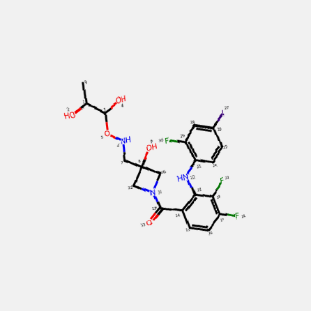 CC(O)C(O)ONCC1(O)CN(C(=O)c2ccc(F)c(F)c2Nc2ccc(I)cc2F)C1